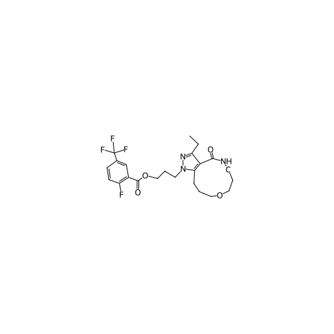 CCc1nn(CCCOC(=O)c2cc(C(F)(F)F)ccc2F)c2c1C(=O)NCCCOCCC2